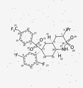 CC(C)C1C[C@@H]2C[C@](c3cc(F)ccc3F)(S(=O)(=O)c3ccc(C(F)(F)F)cc3)CC[C@@H]2NS1(=O)=O